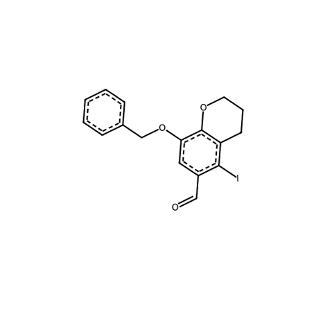 O=Cc1cc(OCc2ccccc2)c2c(c1I)CCCO2